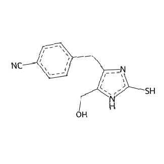 N#Cc1ccc(Cc2nc(S)[nH]c2CO)cc1